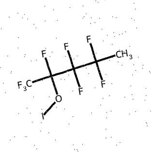 CC(F)(F)C(F)(F)C(F)(OI)C(F)(F)F